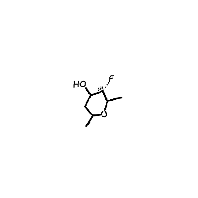 CC1CC(O)[C@H](F)C(C)O1